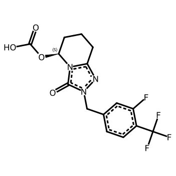 O=C(O)O[C@H]1CCCc2nn(Cc3ccc(C(F)(F)F)c(F)c3)c(=O)n21